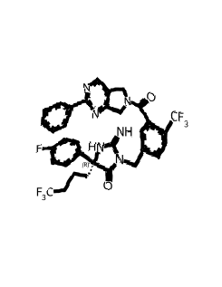 N=C1N[C@](CCCC(F)(F)F)(c2ccc(F)cc2)C(=O)N1Cc1ccc(C(F)(F)F)c(C(=O)N2Cc3cnc(-c4ccccc4)nc3C2)c1